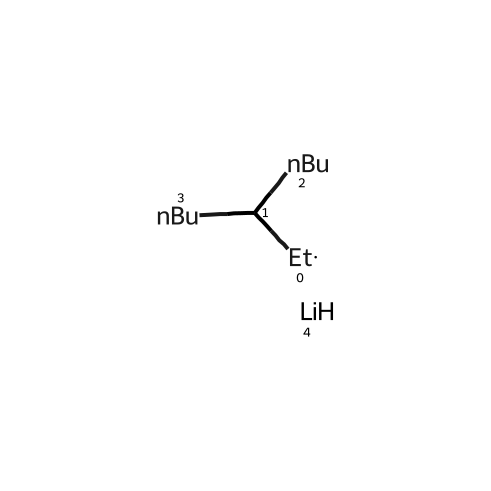 C[CH]C(CCCC)CCCC.[LiH]